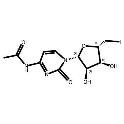 CC(=O)Nc1ccn([C@@H]2O[C@H](CI)[C@@H](O)[C@H]2O)c(=O)n1